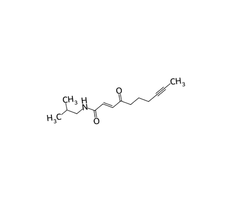 CC#CCCCC(=O)/C=C/C(=O)NCC(C)C